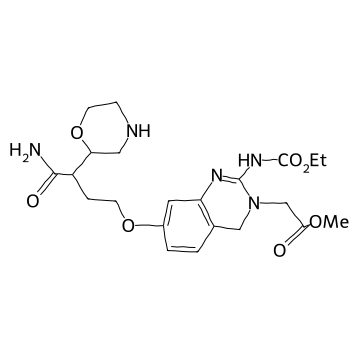 CCOC(=O)NC1=Nc2cc(OCCC(C(N)=O)C3CNCCO3)ccc2CN1CC(=O)OC